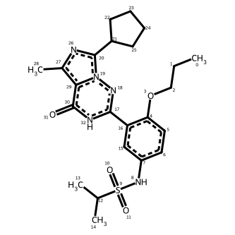 CCCOc1ccc(NS(=O)(=O)C(C)C)cc1-c1nn2c(C3CCCC3)nc(C)c2c(=O)[nH]1